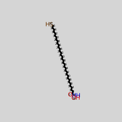 O=C(CCCCCCCCCCCCCCCCCCCCCCCCCCCCCCCCCCCS)NO